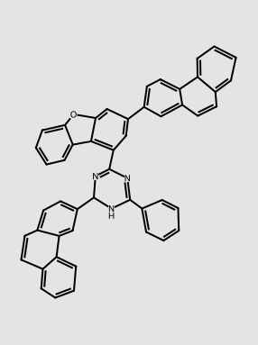 c1ccc(C2=NC(c3cc(-c4ccc5c(ccc6ccccc65)c4)cc4oc5ccccc5c34)=NC(c3ccc4ccc5ccccc5c4c3)N2)cc1